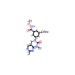 CCONC(=O)c1cc(OC)cc(N2Cc3cnc(C)nc3N(CC)C2=O)c1